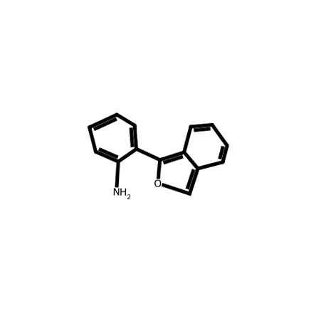 Nc1ccccc1-c1occ2ccccc12